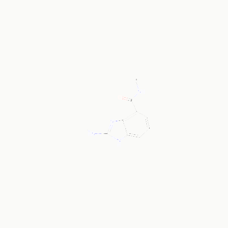 CCCCNC(=O)c1cccc2[nH]c(NC(=O)O)nc12